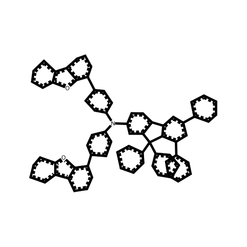 c1ccc(-c2cc(-c3ccccc3)c3c(c2)-c2ccc(N(c4ccc(-c5cccc6c5oc5ccccc56)cc4)c4ccc(-c5cccc6c5oc5ccccc56)cc4)cc2C3(c2ccccc2)c2ccccc2)cc1